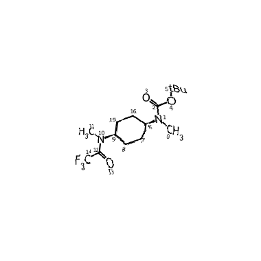 CN(C(=O)OC(C)(C)C)[C@H]1CC[C@@H](N(C)C(=O)C(F)(F)F)CC1